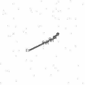 CCC=CCC=CCC=CCC=CCC=CCCCC(=O)NCCOCCNC(=O)CC=Cc1ccc(CCN2CCCC2)nc1